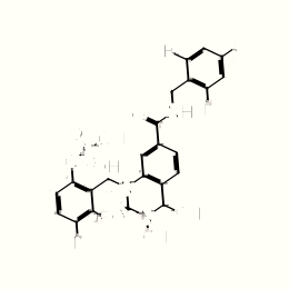 CC1c2ccc(C(=O)NCc3c(F)cc(F)cc3F)cc2N(Cc2c(OP(=O)(O)O)ccc(F)c2F)C(=O)N1C